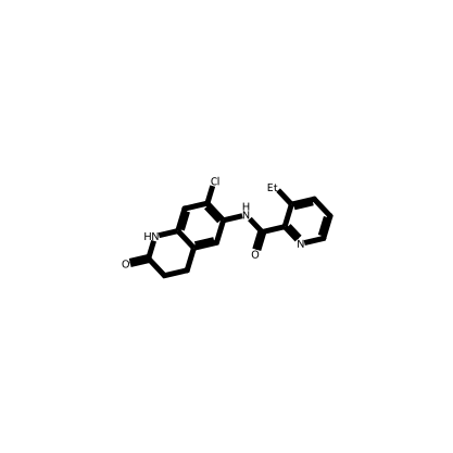 CCc1cccnc1C(=O)Nc1cc2c(cc1Cl)NC(=O)CC2